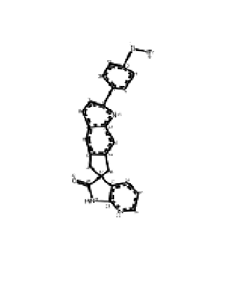 CC(C)Oc1ccc(-c2ccc3cc4c(cc3n2)CC2(C4)C(=O)Nc3ncccc32)cc1